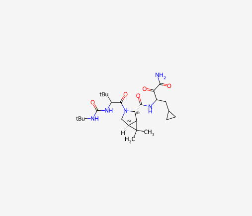 CC(C)(C)NC(=O)NC(C(=O)N1C[C@H]2C([C@H]1C(=O)NC(CC1CC1)C(=O)C(N)=O)C2(C)C)C(C)(C)C